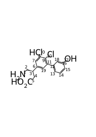 Cl.NC[C@H](CC(=O)O)c1ccc(Cl)c(-c2cccc(O)c2)c1